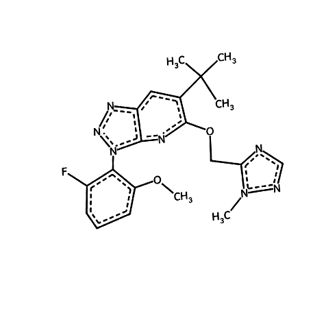 COc1cccc(F)c1-n1nnc2cc(C(C)(C)C)c(OCc3ncnn3C)nc21